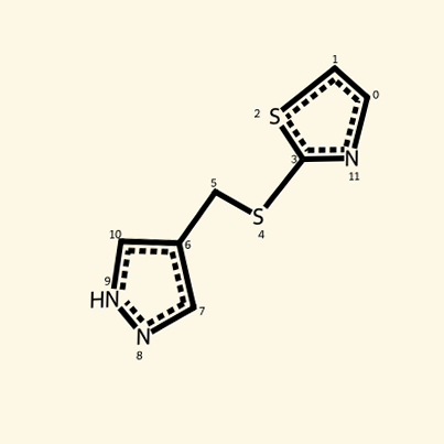 c1csc(SCc2cn[nH]c2)n1